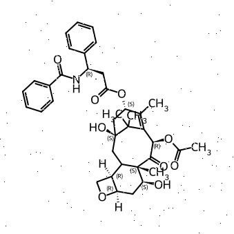 CC(=O)O[C@H]1C(=O)[C@@]2(C)C(C[C@]3(O)C[C@H](OC(=O)C[C@@H](NC(=O)c4ccccc4)c4ccccc4)C(C)=C1C3(C)C)[C@@H]1CO[C@@H]1C[C@@H]2O